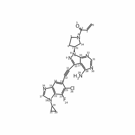 C=CC(=O)N1CC[C@H](n2nc(C#Cc3cc4ncn(C5CC5)c4c(F)c3Cl)c3c(N)ncnc32)C1